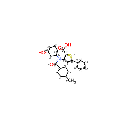 CC1CCC(C(=O)N(c2cc(-c3ccccc3)sc2C(=O)O)C2CCC[C@@H](O)C2)CC1